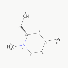 CC(C)C1CCN(C)[C@@H](CC#N)C1